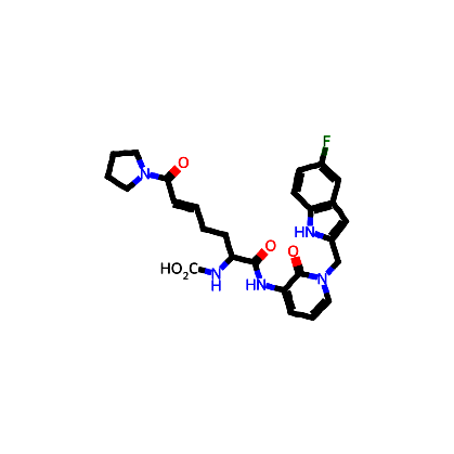 O=C(O)NC(CCC=CC(=O)N1CCCC1)C(=O)Nc1cccn(Cc2cc3cc(F)ccc3[nH]2)c1=O